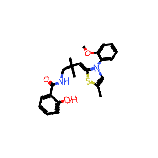 COc1ccccc1N1C=C(C)SC1=CC(C)(C)CNC(=O)c1ccccc1O